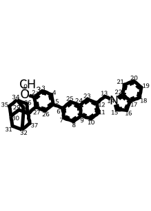 COc1ccc(-c2ccc3ccc(Cn4ccc5ccccc54)cc3c2)cc1C12CC3CC(CC(C3)C1)C2